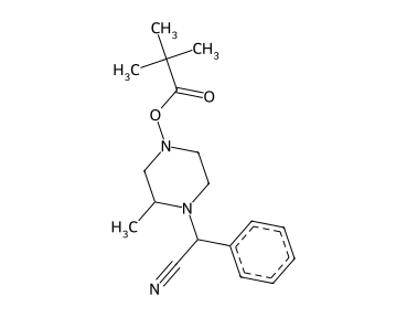 CC1CN(OC(=O)C(C)(C)C)CCN1C(C#N)c1ccccc1